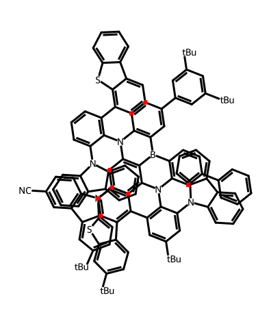 CC(C)(C)c1cc(-c2ccc3c(c2)B2c4ccc(-c5ccccc5)cc4N(c4c(-c5cccc6sc7cc(C(C)(C)C)ccc7c56)cc(C(C)(C)C)cc4-n4c5ccccc5c5ccccc54)c4cc(-n5c6ccc(C#N)cc6c6cc(C(C)(C)C)ccc65)cc(c42)N3c2c(-c3cccc4c3sc3ccccc34)cccc2-n2c3ccccc3c3ccccc32)cc(C(C)(C)C)c1